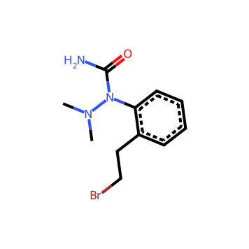 CN(C)N(C(N)=O)c1ccccc1CCBr